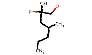 CCCC(C)CC(C)(Br)C[O]